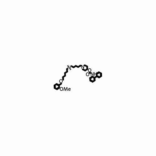 COc1ccccc1COCCCCCC[N+](C)(C)CCCCCN1CCC(OC(=O)Nc2ccccc2-c2ccccc2)CC1